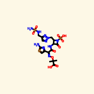 CC(C)(O/N=C(\C(=O)NC1C(=O)N(S(=O)(=O)O)C1Cn1ncc(CNS(N)(=O)=O)n1)c1csc(N)n1)C(=O)O